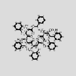 CN(C(=O)OCc1ccccc1)[C@@H](Cc1ccccc1)C(=O)N(C)[C@@H](Cc1ccccc1)C(=O)N(C)[C@@H](Cc1ccccc1)C(=O)N(C)[C@@H](Cc1ccccc1)C(=O)N(C)[C@@H](Cc1ccccc1)C(=O)O